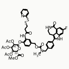 COC(=O)[C@H]1O[C@@H](Oc2ccc(COC(=O)N(C)Cc3ccc(-c4[nH]c5cc(F)cc6c5c4CCNC6=O)cc3)cc2NC(=O)CCSSc2ccccn2)[C@H](OC(C)=O)[C@@H](OC(C)=O)[C@@H]1OC(C)=O